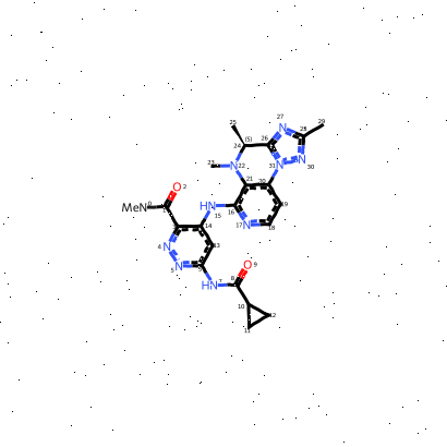 CNC(=O)c1nnc(NC(=O)C2CC2)cc1Nc1nccc2c1N(C)[C@@H](C)c1nc(C)nn1-2